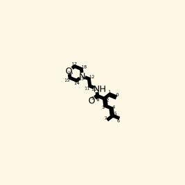 C=C/C(=C\C=C(C)C)C(=O)NCCN1CCOCC1